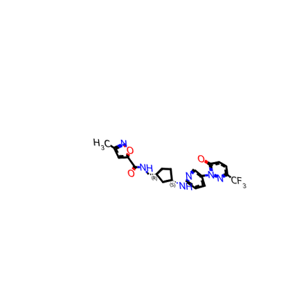 Cc1cc(C(=O)NC[C@@H]2CC[C@H](Nc3ccc(-n4nc(C(F)(F)F)ccc4=O)cn3)C2)on1